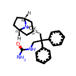 CN1[C@@H]2CC[C@H]1C[C@@H](CC(CNC(N)=O)(c1ccccc1)c1ccccc1)C2